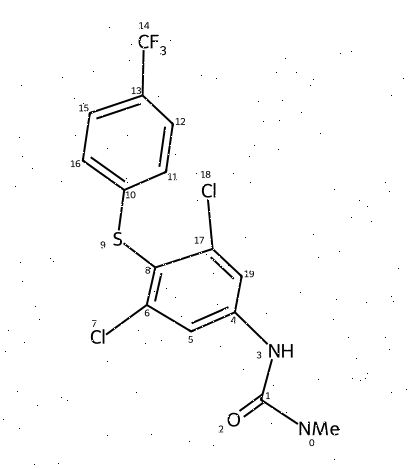 CNC(=O)Nc1cc(Cl)c(Sc2ccc(C(F)(F)F)cc2)c(Cl)c1